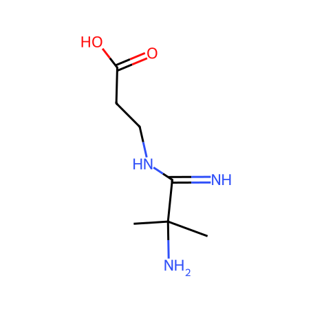 CC(C)(N)C(=N)NCCC(=O)O